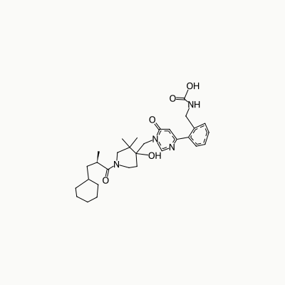 C[C@H](CC1CCCCC1)C(=O)N1CCC(O)(Cn2cnc(-c3ccccc3CNC(=O)O)cc2=O)C(C)(C)C1